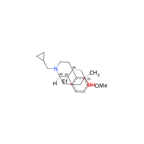 CC[C@@]12CC[C@](C)(O)C[C@@]13CCN(CC1CC1)[C@@H]2Cc1ccc(OC)cc13